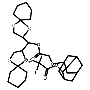 O=C(COC12CC3CC(C1)C(OC(=O)C(F)(F)S(=O)(=O)O)C(C3)C2)OC(C1COC2(CCCCC2)O1)C1COC2(CCCCC2)O1